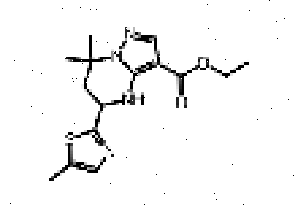 CCOC(=O)c1cnn2c1NC(c1ncc(C)s1)CC2(C)C